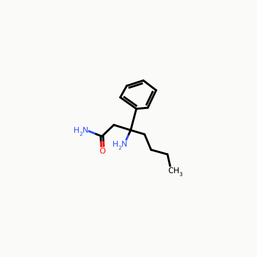 CCCCC(N)(CC(N)=O)c1ccccc1